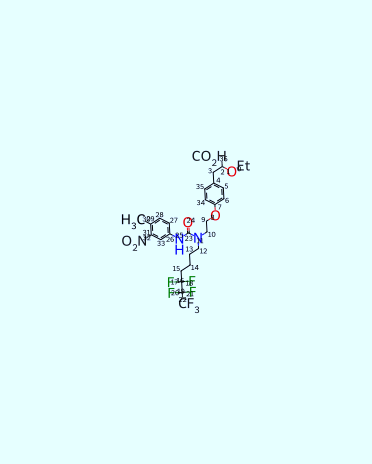 CCOC(Cc1ccc(OCCN(CCCCC(F)(F)C(F)(F)C(F)(F)F)C(=O)Nc2ccc(C)c([N+](=O)[O-])c2)cc1)C(=O)O